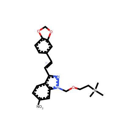 C[Si](C)(C)CCOCn1nc(/C=C/c2ccc3c(c2)OCO3)c2ccc([N+](=O)[O-])cc21